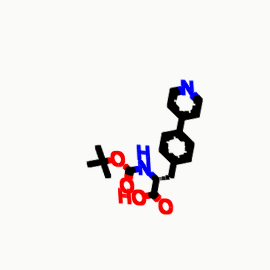 CC(C)(C)OC(=O)N[C@H](Cc1ccc(-c2ccncc2)cc1)C(=O)O